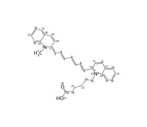 CN1/C(=C/C=C/C=C/C=C/c2ccc3ccccc3[n+]2CCCCCC(=O)O)C=Cc2ccccc21